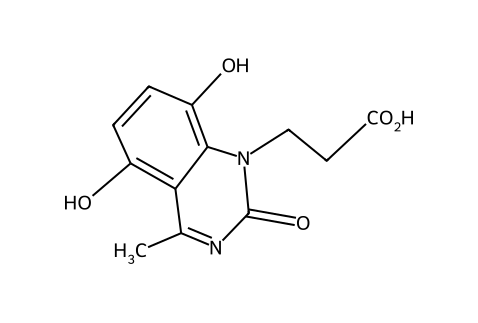 Cc1nc(=O)n(CCC(=O)O)c2c(O)ccc(O)c12